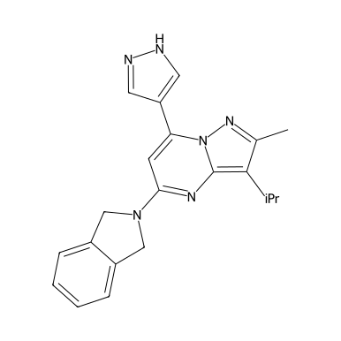 Cc1nn2c(-c3cn[nH]c3)cc(N3Cc4ccccc4C3)nc2c1C(C)C